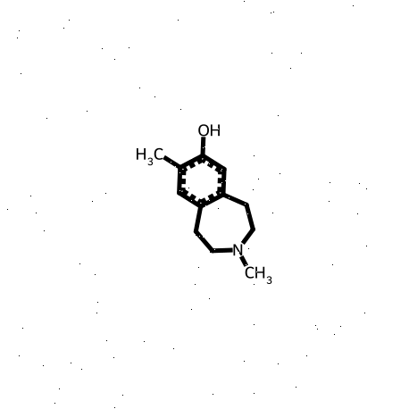 Cc1cc2c(cc1O)CCN(C)CC2